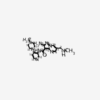 CNCc1cnc2c(C(=O)Nc3cnccc3N3CCN(C)CC3)c(N)nn2c1